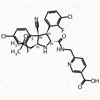 CC(C)(C)C[C@@H]1N[C@@H](C(=O)NCc2ccc(C(=O)O)cn2)[C@H](c2cccc(Cl)c2F)[C@@]1(C#N)c1ccc(Cl)cc1F